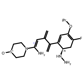 C=C(/C=C(\N)N1CC[S+]([O-])CC1)C(=C)C1=CC(OC(C)C)=C(F)C[C@H]1NN